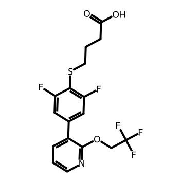 O=C(O)CCCSc1c(F)cc(-c2cccnc2OCC(F)(F)F)cc1F